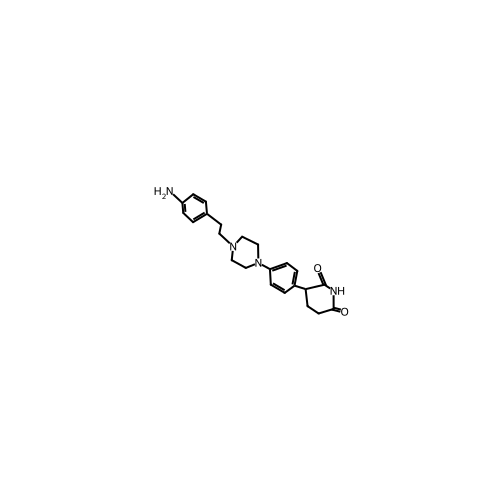 Nc1ccc(CCN2CCN(c3ccc(C4CCC(=O)NC4=O)cc3)CC2)cc1